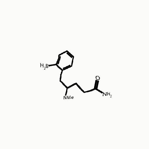 Bc1ccccc1CC(CCC(N)=O)NC